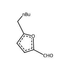 CCCCCc1ccc(C=O)o1